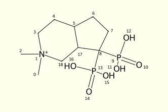 C[N+]1(C)CCC2CCC(P(=O)(O)O)(P(=O)(O)O)C2C1